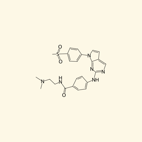 CN(C)CCNC(=O)c1ccc(Nc2ncc3ccn(-c4ccc(S(C)(=O)=O)cc4)c3n2)cc1